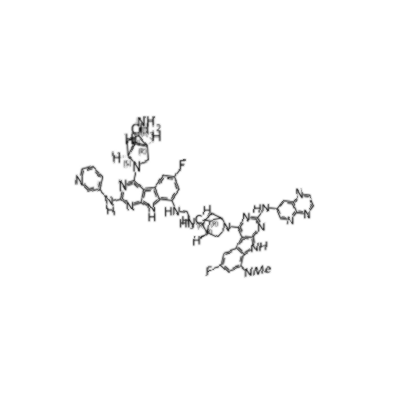 CNc1cc(F)cc2c1[nH]c1nc(Nc3cnc4nccnc4c3)nc(N3C[C@@H]4[C@H](NCNc5cc(F)cc6c5[nH]c5nc(Nc7cccnc7)nc(N7C[C@H]8[C@@H](C)[C@@H]7C[C@H]8N)c56)CC3[C@@H]4C)c12